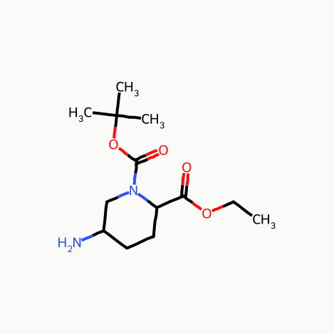 CCOC(=O)C1CCC(N)CN1C(=O)OC(C)(C)C